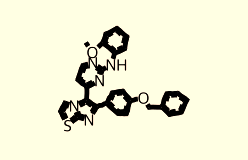 COc1ccccc1Nc1nccc(-c2c(-c3ccc(OCc4ccccc4)cc3)nc3sccn23)n1